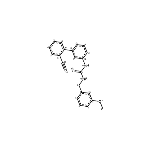 COc1cccc(CNC(=O)Nc2cccc(-c3ccccc3C#N)c2)c1